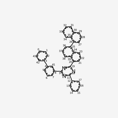 c1ccc(-c2cccc(-c3nc(-c4ccccc4)nc(-c4cccc5c(-c6cccc7ccccc67)cccc45)n3)c2)cc1